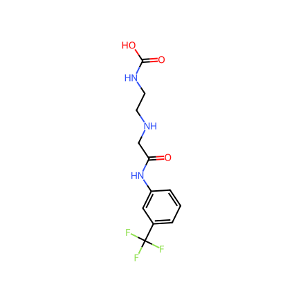 O=C(O)NCCNCC(=O)Nc1cccc(C(F)(F)F)c1